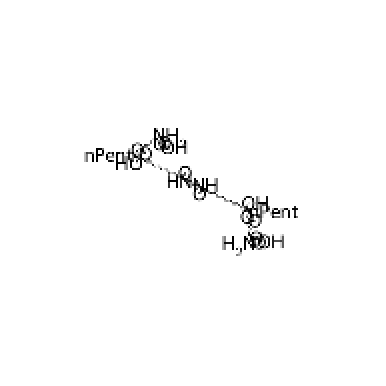 CCCCCC(OC(=O)CCCC(N)OOO)C(O)CC=CCCCCCCCC(=O)NCCNC(=O)CCCCCCCC=CCC(O)C(CCCCC)OC(=O)CCCC(N)OOO